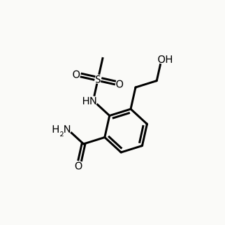 CS(=O)(=O)Nc1c(CCO)cccc1C(N)=O